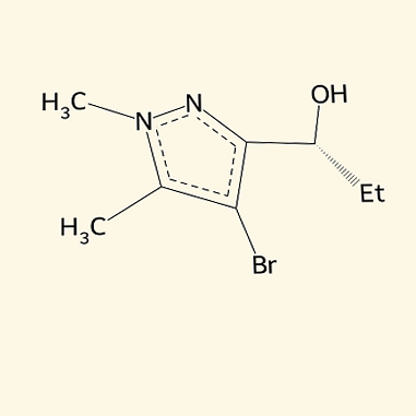 CC[C@@H](O)c1nn(C)c(C)c1Br